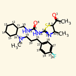 CC(=O)C1SC(NC(=O)NC[C@@H]2CCCC[C@H]2N(C)CCCc2ccc(F)cc2)=NC1C